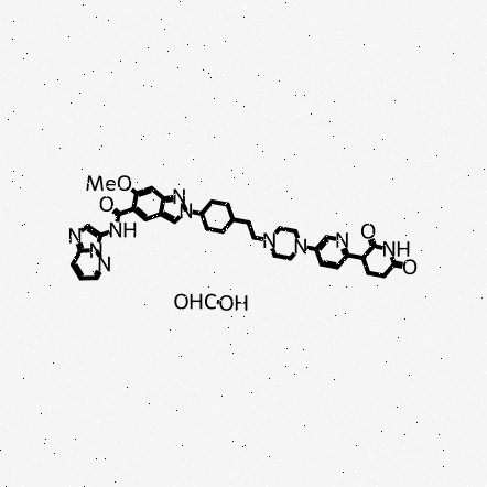 COc1cc2nn(C3CCC(CCN4CCN(c5ccc(C6CCC(=O)NC6=O)nc5)CC4)CC3)cc2cc1C(=O)Nc1cnc2cccnn12.O=CO